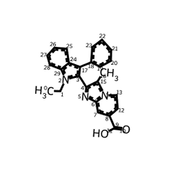 CCn1c(-c2nc3cc(C(=O)O)ccn3c2C)c(-c2ccccc2)c2ccccc21